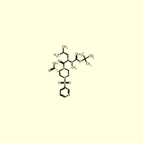 CC(C)CC(C(=O)N1CCN(S(=O)(=O)c2cccnc2)C[C@@H]1C(=O)O)N(C)C(=O)OC(C)(C)C